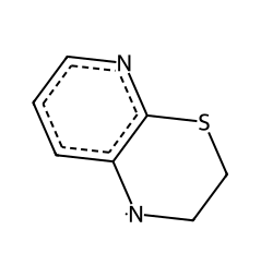 c1cnc2c(c1)[N]CCS2